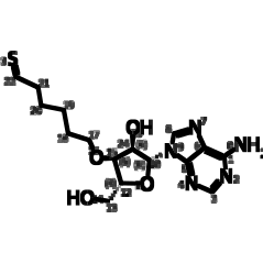 Nc1ncnc2c1ncn2[C@@H]1O[C@H](CO)[C@@H](OCCCCCC=S)[C@H]1O